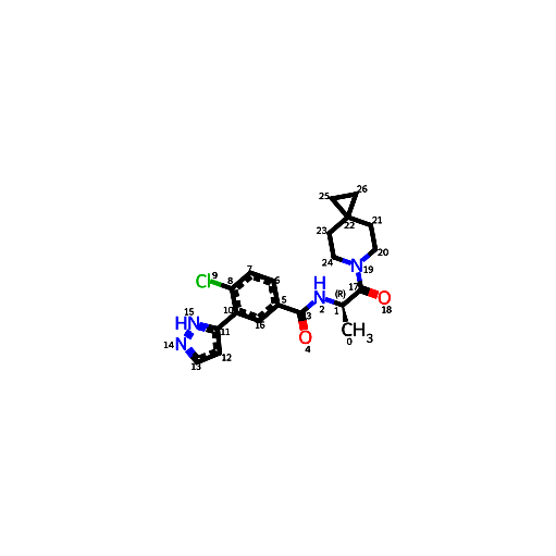 C[C@@H](NC(=O)c1ccc(Cl)c(-c2ccn[nH]2)c1)C(=O)N1CCC2(CC1)CC2